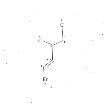 CC/C=C/C(Cl)CCl